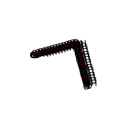 O=[N+]([O-])O.O=[N+]([O-])O.O=[N+]([O-])O.O=[N+]([O-])O.O=[N+]([O-])O.O=[N+]([O-])O.O=[N+]([O-])O.O=[N+]([O-])O.O=[N+]([O-])O.O=[N+]([O-])O.O=[N+]([O-])O.O=[N+]([O-])O.O=[N+]([O-])O.O=[N+]([O-])O.O=[N+]([O-])O.O=[N+]([O-])O.O=[N+]([O-])O.O=[N+]([O-])O.O=[N+]([O-])O.O=[N+]([O-])O.O=[N+]([O-])O.O=[N+]([O-])O.O=[N+]([O-])O.O=[N+]([O-])O.O=[N+]([O-])O.O=[N+]([O-])O.O=[N+]([O-])O.O=[N+]([O-])O.O=[N+]([O-])O.O=[N+]([O-])[O-].O=[N+]([O-])[O-].[Cs+].[Cs+]